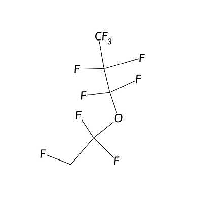 FCC(F)(F)OC(F)(F)C(F)(F)C(F)(F)F